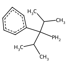 CC(C)C(P)(c1ccccc1)C(C)C